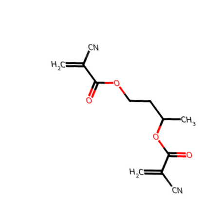 C=C(C#N)C(=O)OCCC(C)OC(=O)C(=C)C#N